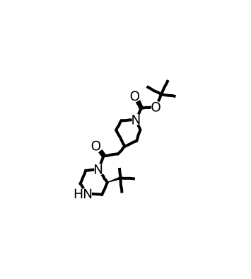 CC(C)(C)OC(=O)N1CCC(CC(=O)N2CCNC[C@@H]2C(C)(C)C)CC1